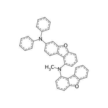 CN(c1cccc2oc3ccccc3c12)c1cccc2oc3cc(N(c4ccccc4)c4ccccc4)ccc3c12